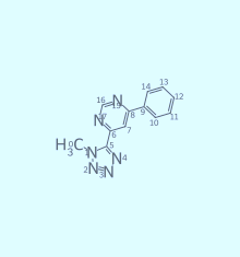 Cn1nnnc1-c1cc(-c2ccccc2)ncn1